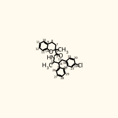 CC(NC(=O)C1(C)CCc2ccccc2O1)C(Cc1ccc(Cl)cc1)c1ccccc1